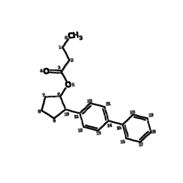 CCCC(=O)OC1CCCC1c1ccc(-c2ccccc2)cc1